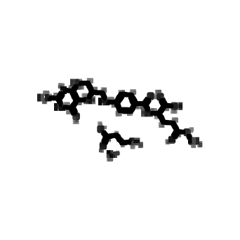 CCCC(=O)[O-].COC(=O)CCC(NC(=O)c1ccc(NCC2CNc3nc(N)[nH]c(=O)c3N2)cc1)C(=O)O.[Na+]